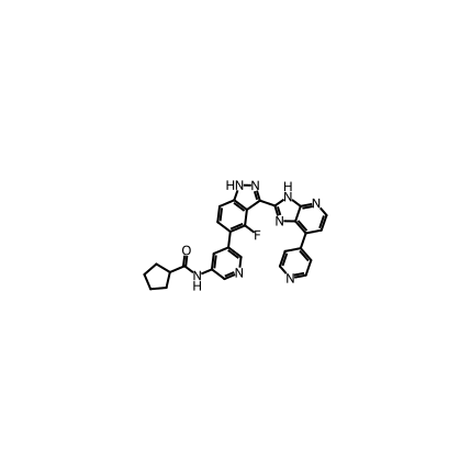 O=C(Nc1cncc(-c2ccc3[nH]nc(-c4nc5c(-c6ccncc6)ccnc5[nH]4)c3c2F)c1)C1CCCC1